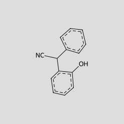 N#CC(c1ccccc1)c1ccccc1O